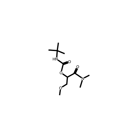 COCC(OC(=O)NC(C)(C)C)C(=O)N(C)C